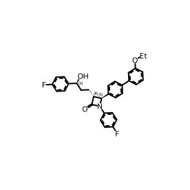 CCOc1cccc(-c2ccc([C@@H]3[C@@H](CC[C@H](O)c4ccc(F)cc4)C(=O)N3c3ccc(F)cc3)cc2)c1